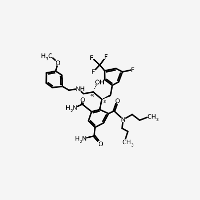 CCCN(CCC)C(=O)c1cc(C(N)=O)cc(C(N)=O)c1[C@H](Cc1cc(F)cc(C(F)(F)F)c1)[C@@H](O)CNCc1cccc(OC)c1